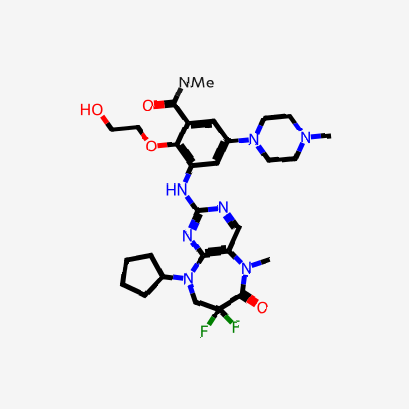 CNC(=O)c1cc(N2CCN(C)CC2)cc(Nc2ncc3c(n2)N(C2CCCC2)CC(F)(F)C(=O)N3C)c1OCCO